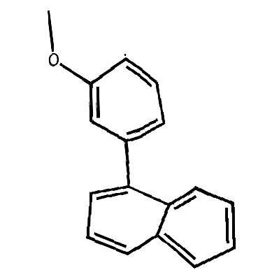 COc1[c]ccc(-c2cccc3ccccc23)c1